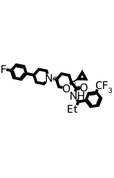 CCC(NC(=O)[C@@]1(C2CC2)CC[C@@H](N2CCC(c3ccc(F)cc3)CC2)CO1)c1cccc(C(F)(F)F)c1